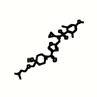 COc1cc(C)c(S(=O)(=O)N(Cc2nc(C(=O)N3CCC(O)(COCCN(C)C)CC3)co2)C2CC2)c(C)c1